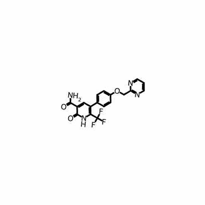 NC(=O)c1cc(-c2ccc(OCc3ncccn3)cc2)c(C(F)(F)F)[nH]c1=O